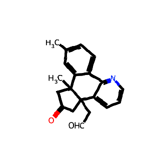 Cc1ccc2c(c1)C1(C)CC(=O)CC1(CC=O)c1cccnc1-2